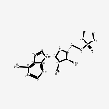 COP(=O)(OC)OC[C@H]1O[C@@H](n2cnc3c(O)ncnc32)[C@H](O)[C@@H]1O